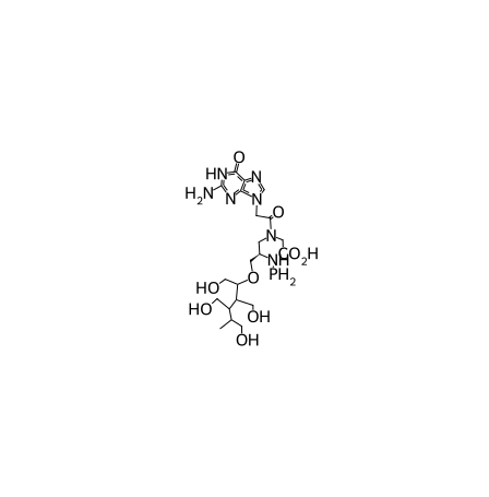 CC(CO)C(CO)C(CO)C(CO)OC[C@@H](CN(CC(=O)O)C(=O)Cn1cnc2c(=O)[nH]c(N)nc21)NP